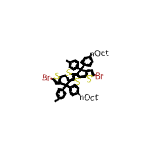 CCCCCCCCc1ccc(C2(c3ccc(C)cc3)c3cc(Br)sc3-c3sc4c5c(sc4c32)-c2sc(Br)cc2C5(c2ccc(C)cc2)c2ccc(CCCCCCCC)cc2)cc1